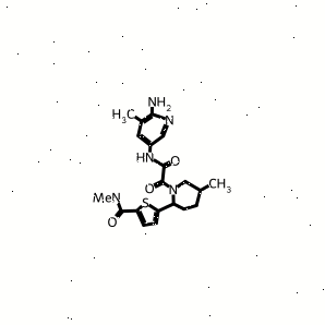 CNC(=O)c1ccc(C2CCC(C)CN2C(=O)C(=O)Nc2cnc(N)c(C)c2)s1